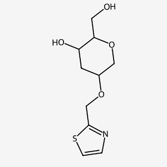 OCC1OCC(OCc2nccs2)CC1O